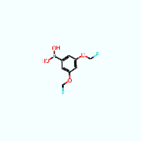 OB(O)c1cc(OCF)cc(OCF)c1